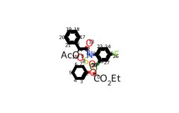 CCOC(=O)OC1=CCCC[C@@H]1S(=O)(=O)N(C(=O)[C@H](OC(C)=O)c1ccccc1)c1ccc(F)cc1Cl